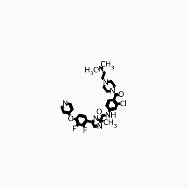 CN(C)CCN1CCN(C(=O)c2ccc(NC(=O)C3(C)N=CC(c4ccc(Oc5ccncc5)c(F)c4F)=N3)cc2Cl)CC1